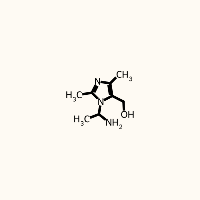 Cc1nc(C)n(C(C)N)c1CO